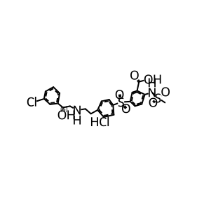 CS(=O)(=O)Nc1ccc(S(=O)(=O)c2ccc(CCNC[C@@H](O)c3cccc(Cl)c3)cc2)cc1C(=O)O.Cl